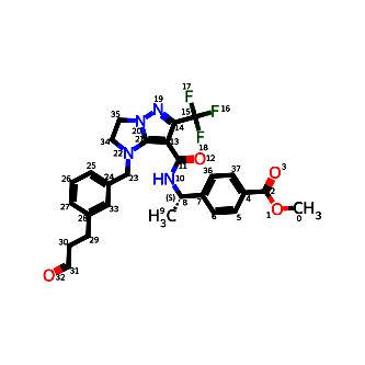 COC(=O)c1ccc([C@H](C)NC(=O)c2c(C(F)(F)F)nn3c2N(Cc2cccc(CCC=O)c2)CC3)cc1